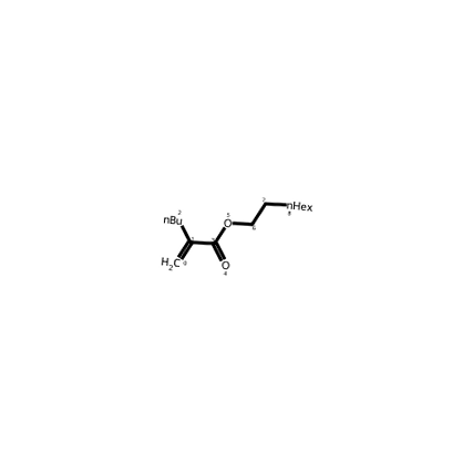 C=C(CCCC)C(=O)OCCCCCCCC